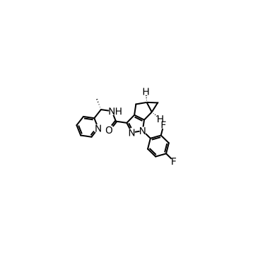 C[C@H](NC(=O)c1nn(-c2ccc(F)cc2F)c2c1C[C@H]1C[C@@H]21)c1ccccn1